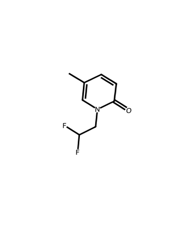 Cc1ccc(=O)n(CC(F)F)c1